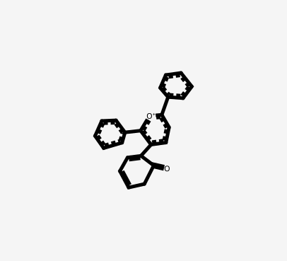 O=C1CC=CC=C1c1ccc(-c2ccccc2)[o+]c1-c1ccccc1